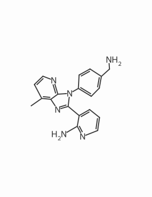 Cc1ccnc2c1nc(-c1cccnc1N)n2-c1ccc(CN)cc1